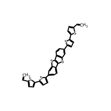 C=Cc1ccc(-c2ccc(-c3ccc4c(c3)sc3c5ccc(-c6ccc(-c7ccc(C=C)s7)s6)cc5sc43)s2)s1